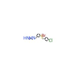 Clc1ccc(CSc2cccc(CNCC3CNC3)c2)c(Br)c1